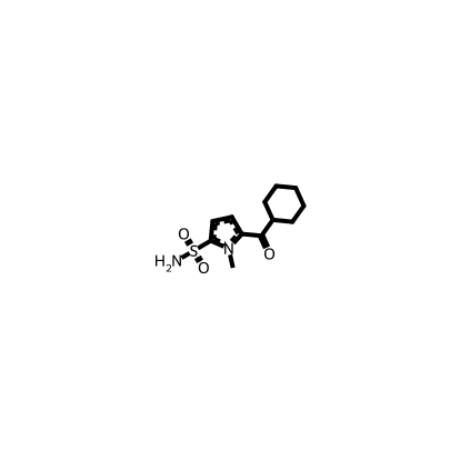 Cn1c(C(=O)C2CCCCC2)ccc1S(N)(=O)=O